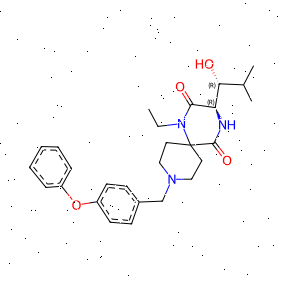 CCN1C(=O)[C@@H]([C@H](O)C(C)C)NC(=O)C12CCN(Cc1ccc(Oc3ccccc3)cc1)CC2